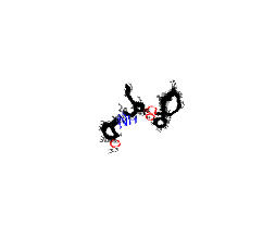 C=CC1C[C@](C)(OC(=O)C2(c3ccccc3)CCCCCC2)C1CCNCc1cccc(OC)c1